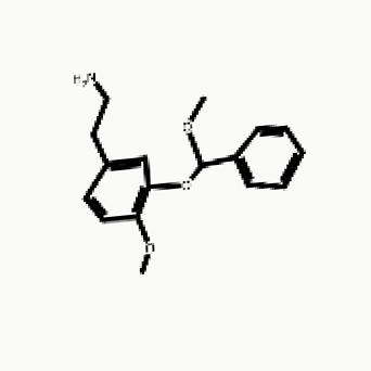 COc1ccc(CCN)cc1OC(OC)c1ccccc1